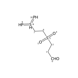 O=CCCS(=O)(=O)CC[SH](=P)=P